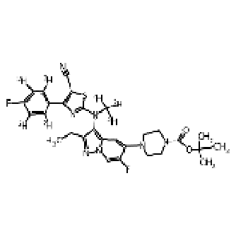 [2H]c1c([2H])c(-c2nc(N(c3c(CC)nn4cc(F)c(N5CCN(C(=O)OC(C)(C)C)CC5)cc34)C([2H])([2H])[2H])sc2C#N)c([2H])c([2H])c1F